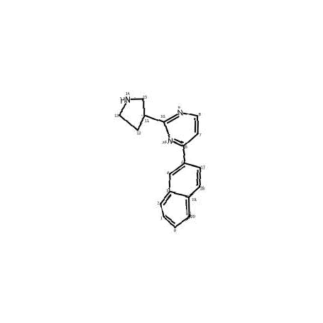 c1ccc2cc(-c3ccnc([C]4CCNC4)n3)ccc2c1